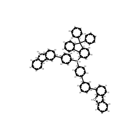 c1ccc(C2(c3ccccc3)c3ccccc3-c3c(N(c4ccc(-c5cccc(-c6cccc7c6oc6ccccc67)c5)cc4)c4ccc(-c5ccc6sc7ccccc7c6c5)cc4)cccc32)cc1